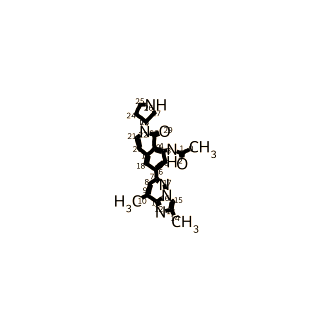 CC(=O)Nc1cc(-c2cc(C)c3nc(C)cn3n2)cc2ccn([C@@H]3CCNC3)c(=O)c12